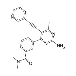 Cc1nc(N)nc(-c2cccc(C(=O)N(C)C)c2)c1C#Cc1cccnc1